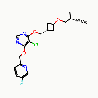 CC(=O)N[C@@H](C)CO[C@H]1C[C@H](COc2ncnc(OCc3ccc(F)cn3)c2Cl)C1